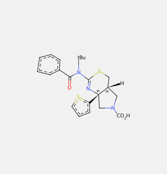 CC(C)(C)N(C(=O)c1ccccc1)C1=N[C@@]2(c3cccs3)CN(C(=O)O)C[C@H]2CS1